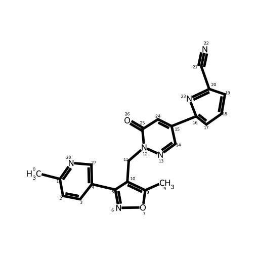 Cc1ccc(-c2noc(C)c2Cn2ncc(-c3cccc(C#N)n3)cc2=O)cn1